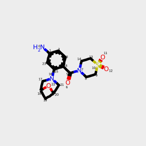 Nc1ccc(C(=O)N2CCS(=O)(=O)CC2)c(N2CC3CC(C2)O3)c1